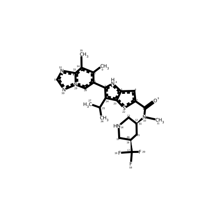 Cc1c(-c2[nH]c3cc(C(=O)N(C)[C@@H]4CNC[C@H](C(F)(F)F)C4)sc3c2C(C)C)cn2ncnc2c1C